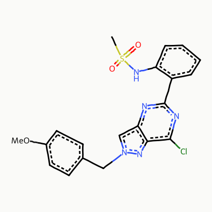 COc1ccc(Cn2cc3nc(-c4ccccc4NS(C)(=O)=O)nc(Cl)c3n2)cc1